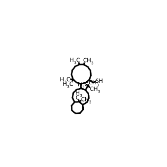 CC1CCCC(CS)CC(C2CCCC3CCCCCC(CCCC2C(C)(C)C)C3(C)C)CC(C)(C)CCCC1C